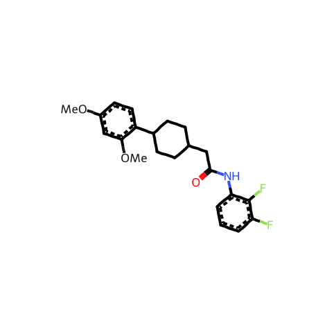 COc1ccc(C2CCC(CC(=O)Nc3cccc(F)c3F)CC2)c(OC)c1